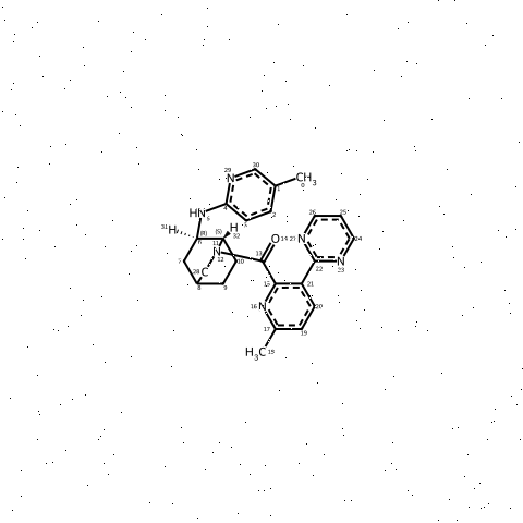 Cc1ccc(N[C@@H]2CC3CC[C@@H]2N(C(=O)c2nc(C)ccc2-c2ncccn2)C3)nc1